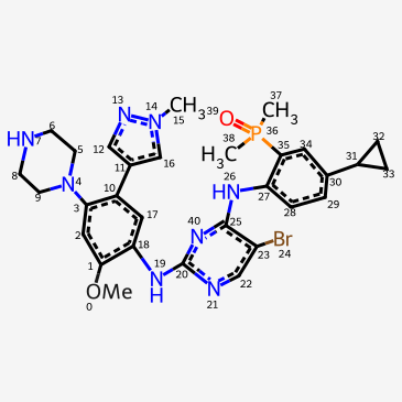 COc1cc(N2CCNCC2)c(-c2cnn(C)c2)cc1Nc1ncc(Br)c(Nc2ccc(C3CC3)cc2P(C)(C)=O)n1